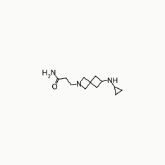 NC(=O)CCN1CC2(CC(NC3CC3)C2)C1